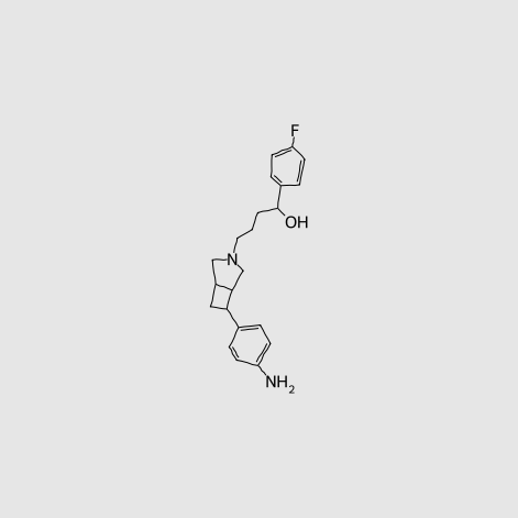 Nc1ccc(C2CC3CN(CCCC(O)c4ccc(F)cc4)CC32)cc1